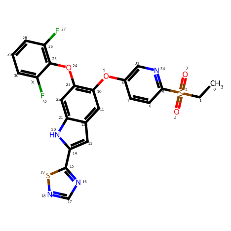 CCS(=O)(=O)c1ccc(Oc2cc3cc(-c4ncns4)[nH]c3cc2Oc2c(F)cccc2F)cn1